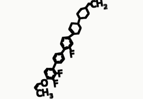 C=CC1CCC(C2CC=C(c3ccc(-c4ccc(-c5ccc(O/C=C\C)c(F)c5F)cc4)c(F)c3)CC2)CC1